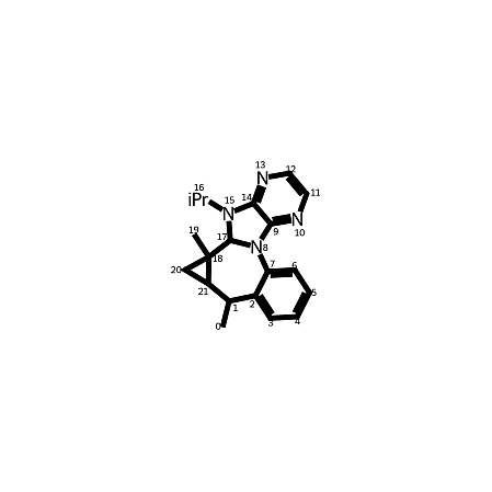 CC1c2ccccc2N2c3nccnc3N(C(C)C)C2C2(C)CC12